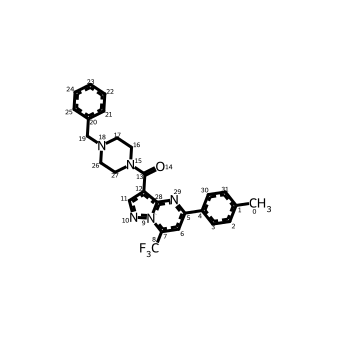 Cc1ccc(-c2cc(C(F)(F)F)n3ncc(C(=O)N4CCN(Cc5ccccc5)CC4)c3n2)cc1